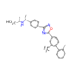 Cc1ccccc1-c1ccc(-c2nc(-c3ccc(C(C)NC(C)C(=O)O)cc3)no2)cc1C(F)(F)F